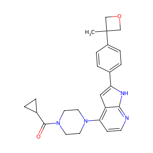 CC1(c2ccc(-c3cc4c(N5CCN(C(=O)C6CC6)CC5)ccnc4[nH]3)cc2)COC1